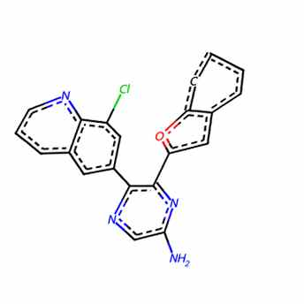 Nc1cnc(-c2cc(Cl)c3ncccc3c2)c(-c2cc3ccccc3o2)n1